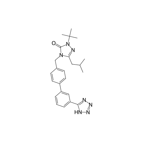 CC(C)Cc1nn(C(C)(C)C)c(=O)n1Cc1ccc(-c2cccc(-c3nnn[nH]3)c2)cc1